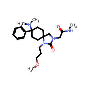 CNC(=O)CN1CC2(CCC(c3ccccc3)(N(C)C)CC2)N(CCCOC)C1=O